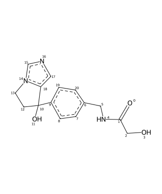 O=C(CO)NCc1ccc(C2(O)CCn3cncc32)cc1